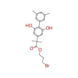 Cc1cc(C)cc(-c2c(O)cc(C(C)(C)C(=O)OCCCBr)cc2O)c1